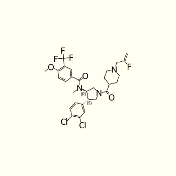 C=C(F)CN1CCC(C(=O)N2C[C@H](c3ccc(Cl)c(Cl)c3)[C@@H](N(C)C(=O)c3ccc(OC)c(C(F)(F)F)c3)C2)CC1